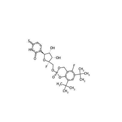 CC(C)(C)c1cc(C(C)(C)C)c2c(c1F)COP(=O)(OC[C@@]1(F)O[C@@H](n3ccc(=S)[nH]c3=O)[C@H](O)[C@@H]1O)O2